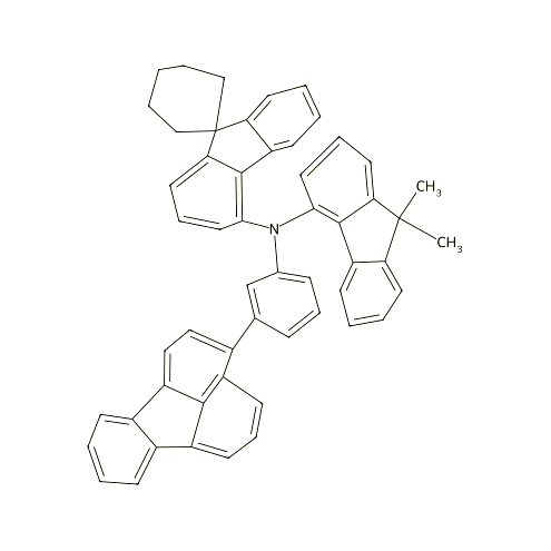 CC1(C)c2ccccc2-c2c(N(c3cccc(-c4ccc5c6c(cccc46)-c4ccccc4-5)c3)c3cccc4c3-c3ccccc3C43CCCCC3)cccc21